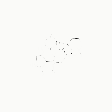 Cc1n[nH]c(C)c1S(=O)(=O)CN1C[C@H]2CCC[C@@H](C1)[C@H]2Oc1cnccn1